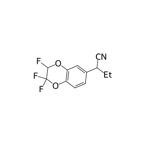 CCC(C#N)c1ccc2c(c1)OC(F)C(F)(F)O2